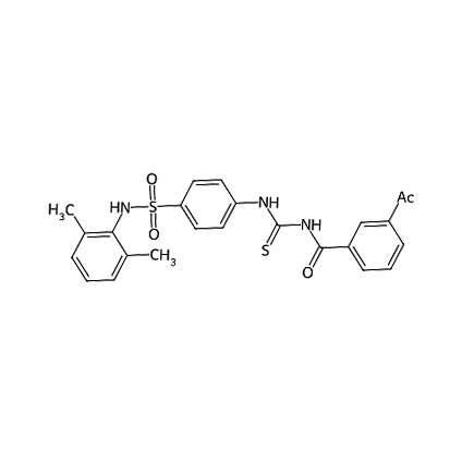 CC(=O)c1cccc(C(=O)NC(=S)Nc2ccc(S(=O)(=O)Nc3c(C)cccc3C)cc2)c1